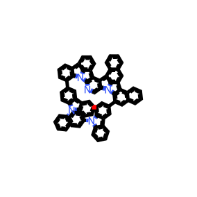 c1ccc(-n2c3ccccc3c3cc(-c4cc5ccccc5c5c6cc7ccccc7c7c8c9c%10cccc%11c%12cccc(-c%13ccc%14c(c%13)c%13ccccc%13n%14-c%13ccccc%13)c%12n(c9ncc8n(c45)c67)c%11%10)ccc32)cc1